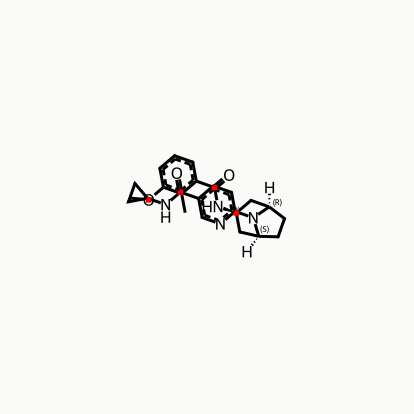 COc1cccc(C(=O)N[C@H]2C[C@H]3CC[C@@H](C2)N3c2ccc(C(=O)NC3CC3)cn2)c1C